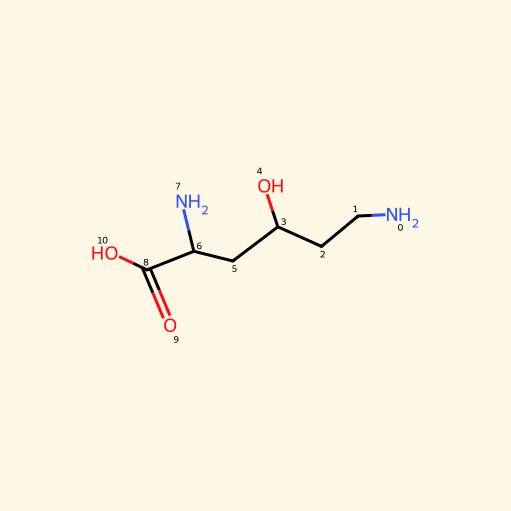 NCCC(O)CC(N)C(=O)O